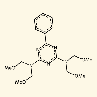 COCN(COC)c1nc(-c2ccccc2)nc(N(COC)COC)n1